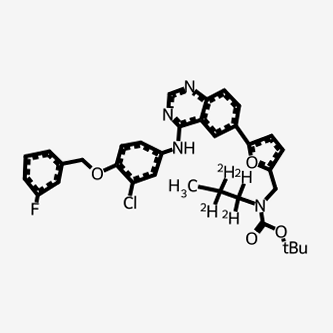 [2H]C([2H])(C)C([2H])([2H])N(Cc1ccc(-c2ccc3ncnc(Nc4ccc(OCc5cccc(F)c5)c(Cl)c4)c3c2)o1)C(=O)OC(C)(C)C